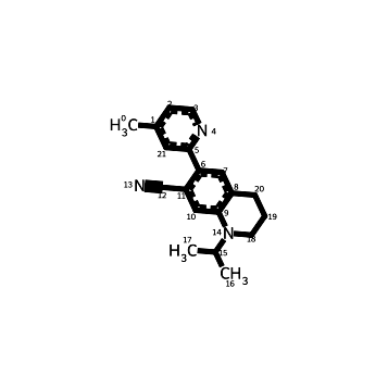 Cc1ccnc(-c2cc3c(cc2C#N)N(C(C)C)CCC3)c1